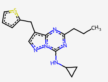 CCCc1nc(NC2CC2)n2ncc(Cc3cccs3)c2n1